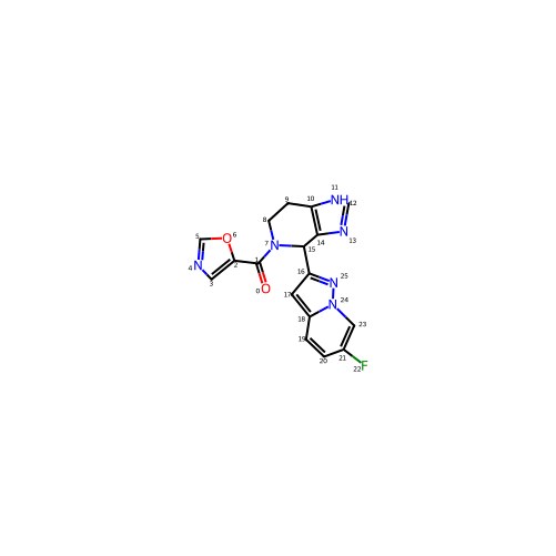 O=C(c1cnco1)N1CCc2[nH]cnc2C1c1cc2ccc(F)cn2n1